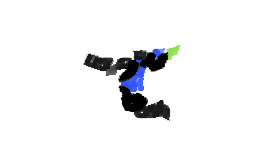 CCOC(=O)c1c(CNCc2ccc(OC)cc2)nc(-c2ccc(F)nc2)n1CC